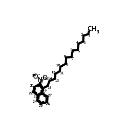 CCCCCCCCCCCCCCCCc1c([N+](=O)[O-])ccc2ccccc12